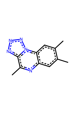 Cc1cc2nc(C)c3nnnn3c2cc1C